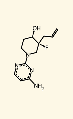 C=CC[C@]1(F)CN(c2nccc(N)n2)CC[C@H]1O